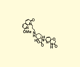 COc1ccc2ccc(=O)n(CCCN[C@@H]3CC[C@@H]4[C@@H](C3)OC(=O)N4c3ccc4c(n3)NC(=O)CO4)c2n1